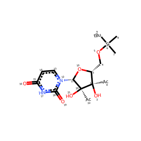 CC(=O)[C@@]1(O)[C@@H](CO[Si](C)(C)C(C)(C)C)O[C@@H](n2ccc(=O)[nH]c2=O)[C@@]1(O)C(C)=O